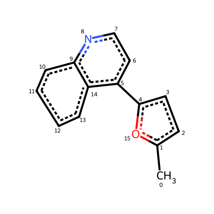 Cc1ccc(-c2ccnc3ccccc23)o1